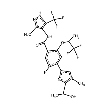 Cc1n[nH]c(C(F)(F)F)c1NC(=O)c1cc(F)c(-c2cn(C)c([C@H](C)O)n2)cc1OC(C)C(F)(F)F